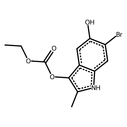 CCOC(=O)Oc1c(C)[nH]c2cc(Br)c(O)cc12